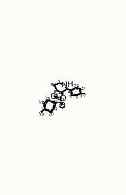 Cc1ccc(C2NCCCC2OS(=O)(=O)c2ccc(C)cc2)cc1